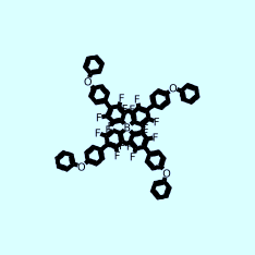 Fc1c(F)c([B-](c2c(F)c(F)c(-c3ccc(Oc4ccccc4)cc3)c(F)c2F)(c2c(F)c(F)c(-c3ccc(Oc4ccccc4)cc3)c(F)c2F)c2c(F)c(F)c(-c3ccc(Oc4ccccc4)cc3)c(F)c2F)c(F)c(F)c1-c1ccc(Oc2ccccc2)cc1